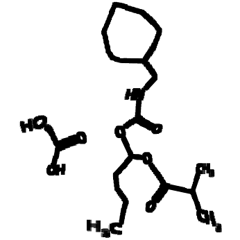 CCCC(OC(=O)NCC1CCCCC1)OC(=O)C(C)C.O=C(O)O